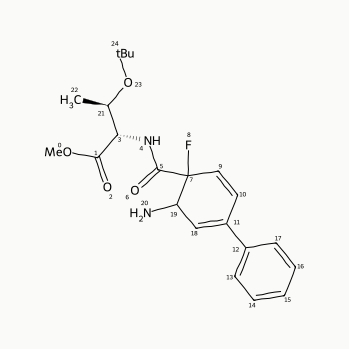 COC(=O)[C@@H](NC(=O)C1(F)C=CC(c2ccccc2)=CC1N)[C@@H](C)OC(C)(C)C